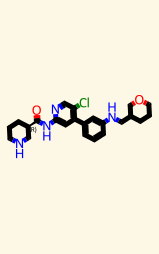 O=C(Nc1cc(-c2cccc(NCC3CCCOC3)c2)c(Cl)cn1)[C@@H]1CCCNC1